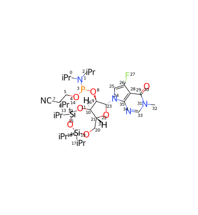 CC(C)N(C(C)C)P(OCCC#N)O[C@@H]1[C@@H]2O[Si](C(C)C)(C(C)C)O[Si](C(C)C)(C(C)C)OC[C@H]2O[C@H]1n1cc(F)c2c(=O)n(C)cnc21